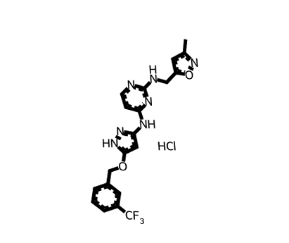 Cc1cc(CNc2nccc(Nc3cc(OCc4cccc(C(F)(F)F)c4)[nH]n3)n2)on1.Cl